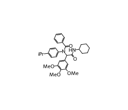 COc1cc(C(C(=O)NC2CCCCC2)N(C(=O)c2ccccc2)c2ccc(C(C)C)cc2)cc(OC)c1OC